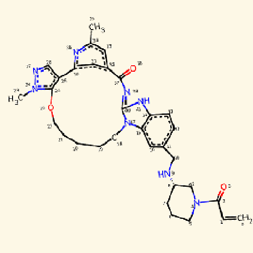 C=CC(=O)N1CCC[C@H](NCc2ccc3c(c2)N2CCCCCOc4c(cnn4C)-c4cc(cc(C)n4)C(=O)/N=C/2N3)C1